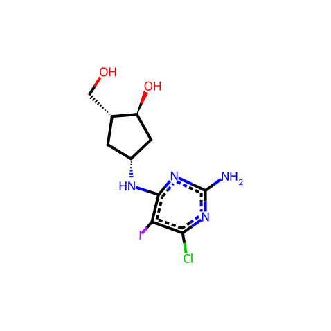 Nc1nc(Cl)c(I)c(N[C@@H]2C[C@H](CO)[C@@H](O)C2)n1